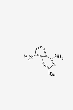 CC(C)(C)c1nc(N)c2cccc(N)c2n1